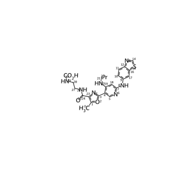 Cc1oc(-c2cnc(Nc3ccc4ncsc4c3)cc2NC(C)C)nc1C(=O)NCCNC(=O)O